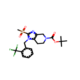 CC(C)(C)OC(=O)N1CCc2c(nc(S(C)(=O)=O)n2Cc2ccccc2C(F)(F)F)C1